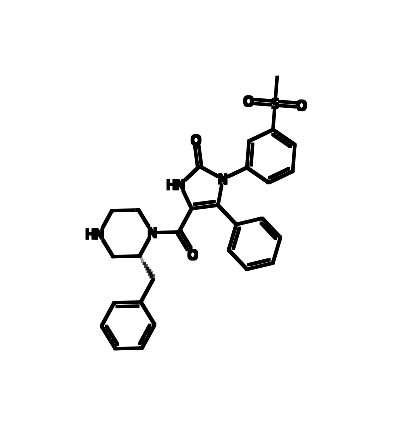 CS(=O)(=O)c1cccc(-n2c(-c3ccccc3)c(C(=O)N3CCNC[C@H]3Cc3ccccc3)[nH]c2=O)c1